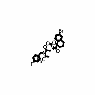 C[C@H](N(Cc1ccc(F)cc1)C(=O)CN1C(=O)OC2(CCCc3cc(Br)ccc32)C1=O)C(F)(F)F